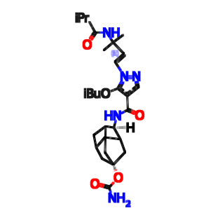 CC(C)COc1c(C(=O)N[C@H]2C3CC4CC2C[C@](OC(N)=O)(C4)C3)cnn1/C=C/C(C)(C)NC(=O)C(C)C